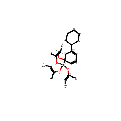 CCCOC1([Si](OC(C)=CC(C)=O)(OC(C)=CC(C)=O)OC(C)=CC(C)=O)C=CC=C(C2CCCCC2)C1